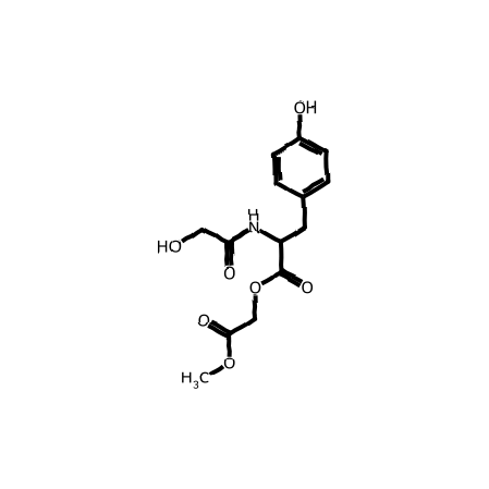 COC(=O)COC(=O)C(Cc1ccc(O)cc1)NC(=O)CO